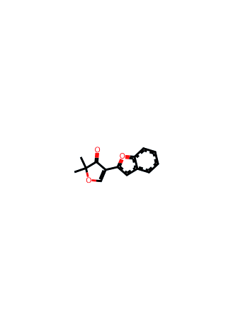 CC1(C)OC=C(c2cc3ccccc3o2)C1=O